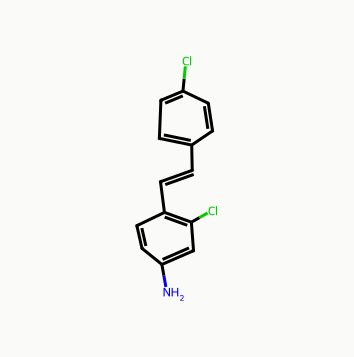 Nc1ccc(/C=C/c2ccc(Cl)cc2)c(Cl)c1